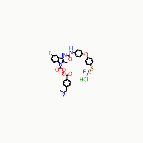 Cc1c(NC(=O)Nc2ccc(Oc3ccc(SC(F)(F)F)cc3)cc2)c2cc(F)ccc2n1C(=O)OOC(=O)c1ccc(CN(C)C)cc1.Cl